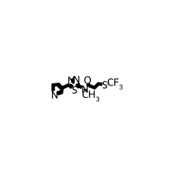 CN(C(=O)CCSC(F)(F)F)c1nnc(C2=CCCN=C2)s1